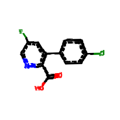 O=C(O)c1ncc(F)cc1-c1ccc(Cl)cc1